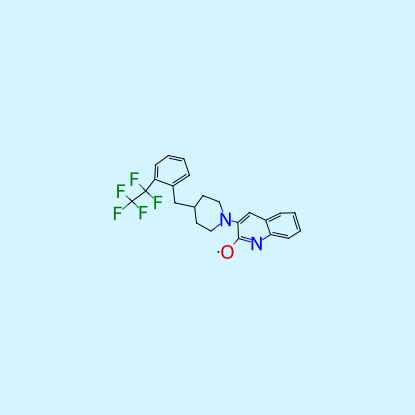 [O]c1nc2ccccc2cc1N1CCC(Cc2ccccc2C(F)(F)C(F)(F)F)CC1